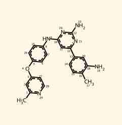 Cc1cc(Oc2ccc(Nc3cc(-c4ccc(C)c(N)c4)nc(N)n3)cc2)ccn1